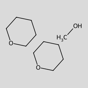 C1CCOCC1.C1CCOCC1.CO